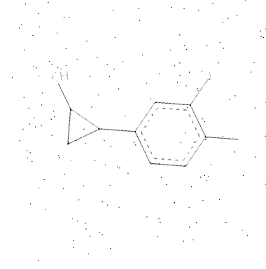 CC1CC1c1ccc(I)c(I)c1